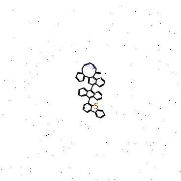 C=C1/C=C\C=C/Cc2ccccc2-c2cc(-c3c4ccccc4c(-c4cccc5c4sc4ccccc45)c4ccccc34)c3ccccc3c21